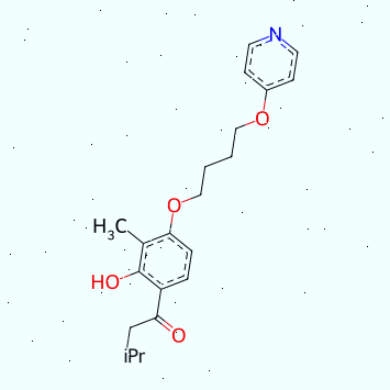 Cc1c(OCCCCOc2ccncc2)ccc(C(=O)CC(C)C)c1O